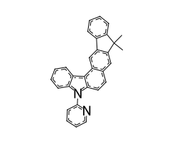 CC1(C)c2ccccc2-c2cc3c(ccc4c3c3ccccc3n4-c3ccccn3)cc21